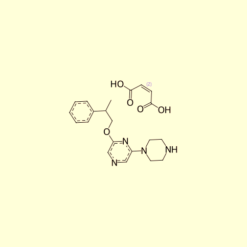 CC(COc1cncc(N2CCNCC2)n1)c1ccccc1.O=C(O)/C=C\C(=O)O